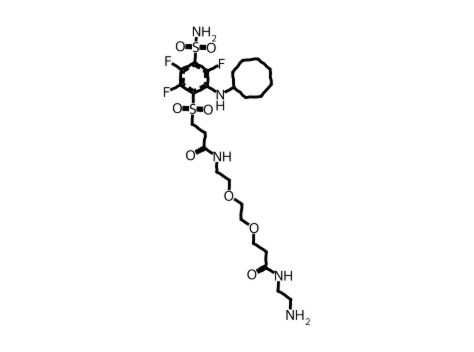 NCCNC(=O)CCOCCOCCNC(=O)CCS(=O)(=O)c1c(F)c(F)c(S(N)(=O)=O)c(F)c1NC1CCCCCCC1